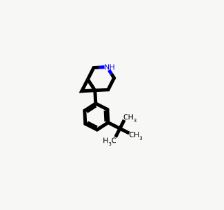 CC(C)(C)c1cccc(C23CCNCC2C3)c1